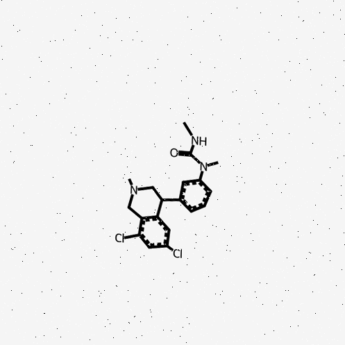 CNC(=O)N(C)c1cccc(C2CN(C)Cc3c(Cl)cc(Cl)cc32)c1